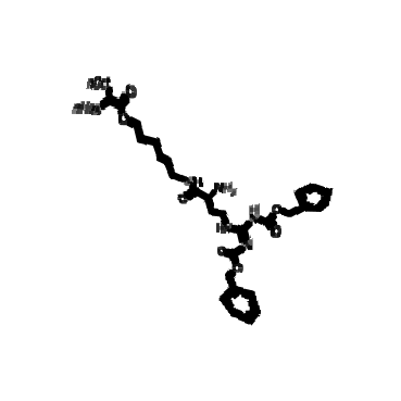 CCCCCCCCC(CCCCCC)C(=O)OCCCCCCNC(=O)[C@@H](N)CCN/C(=N\C(=O)OCc1ccccc1)NC(=O)OCc1ccccc1